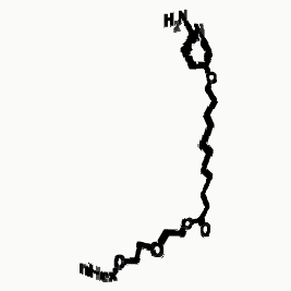 CCCCCCOCCOCCOC(=O)CCCCCCCCCCOc1ccc(N)nc1